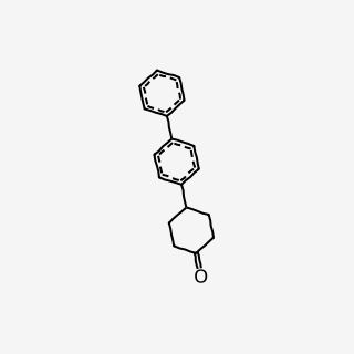 O=C1CCC(c2ccc(-c3ccccc3)cc2)CC1